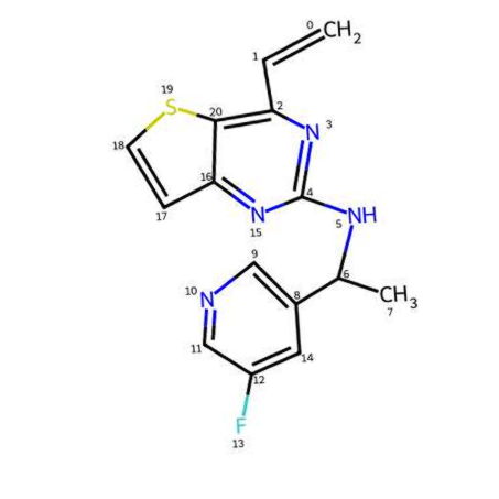 C=Cc1nc(NC(C)c2cncc(F)c2)nc2ccsc12